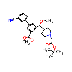 COC(=O)c1cc(-c2cccc(C#N)c2)cc(C(OC)C2CCN(CC(=O)OC(C)(C)C)CC2)c1